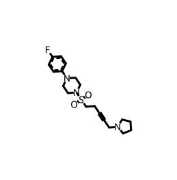 O=S(=O)(CCC#CCN1CCCC1)N1CCN(c2ccc(F)cc2)CC1